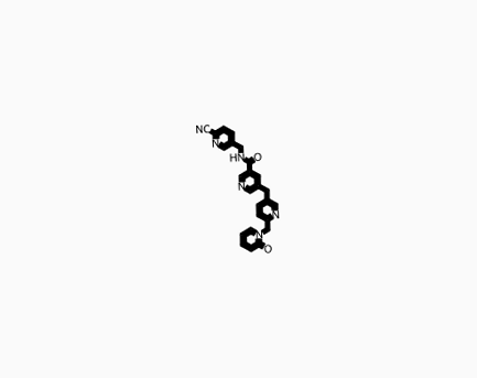 N#Cc1ccc(CNC(=O)c2cncc(Cc3ccc(Cn4ccccc4=O)nc3)c2)cn1